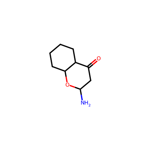 NC1CC(=O)C2CCCCC2O1